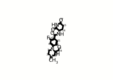 CN1CCN2c3cc(F)c(C(=O)N[C@H]4CCC(=O)NC4=O)cc3OC[C@@H]2C1